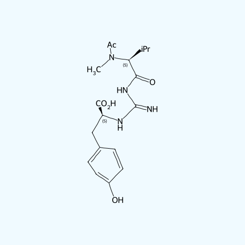 CC(=O)N(C)[C@H](C(=O)NC(=N)N[C@@H](Cc1ccc(O)cc1)C(=O)O)C(C)C